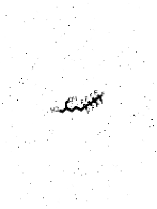 OCC(CO)CCCC(F)(F)C(F)(F)C(F)(F)C(F)(F)I